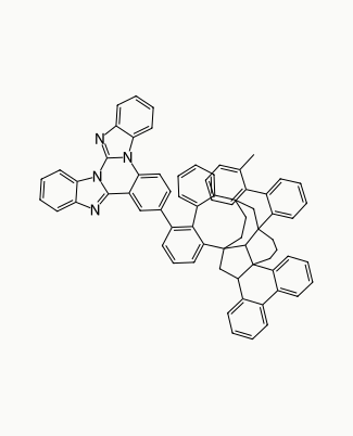 Cc1ccccc1-c1ccccc1C12CCCC34c5ccccc5-c5ccccc5C3CC3(CCC(C1)c1ccccc1-c1c(-c5ccc6c(c5)c5nc7ccccc7n5c5nc7ccccc7n65)cccc13)C24